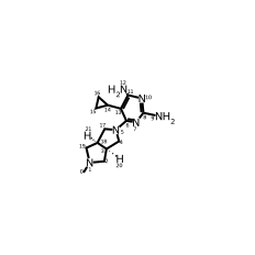 CN1C[C@@H]2CN(c3nc(N)nc(N)c3C3CC3)C[C@@H]2C1